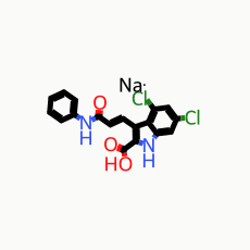 O=C(C=Cc1c(C(=O)O)[nH]c2cc(Cl)cc(Cl)c12)Nc1ccccc1.[Na]